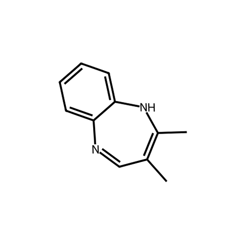 CC1=C(C)Nc2ccccc2N=C1